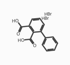 Br.Br.O=C(O)c1cccc(-c2ccccc2)c1C(=O)O